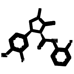 CN1C[C@H](c2ccc(C#N)c(F)c2)[C@@H](C(=O)Nc2ccccc2F)C1=O